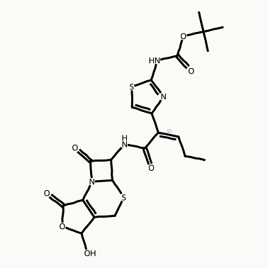 CC/C=C(\C(=O)NC1C(=O)N2C3=C(CSC12)C(O)OC3=O)c1csc(NC(=O)OC(C)(C)C)n1